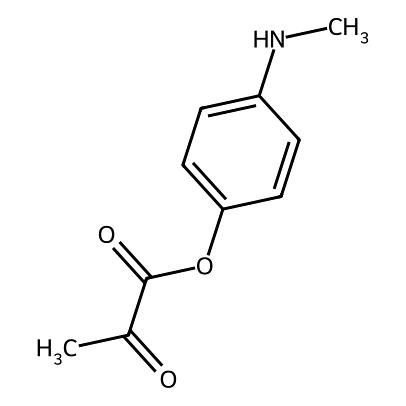 CNc1ccc(OC(=O)C(C)=O)cc1